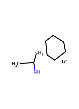 C1CCCCC1.CC(C)[NH-].[Li+]